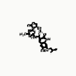 CC[C@H]1COC(=O)N1c1nc(C)nc(N[C@@H](C)c2cc3cc(C#N)c(OCC(F)F)cc3[nH]c2=O)n1